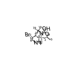 C=CC[C@@H](c1cc(Br)cnc1F)N(C(=O)O)C(C)(C)C